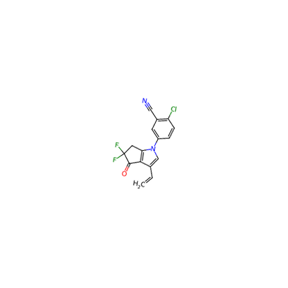 C=Cc1cn(-c2ccc(Cl)c(C#N)c2)c2c1C(=O)C(F)(F)C2